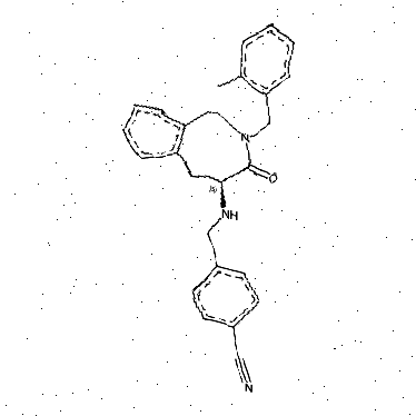 Cc1ccccc1CN1Cc2ccccc2C[C@H](NCc2ccc(C#N)cc2)C1=O